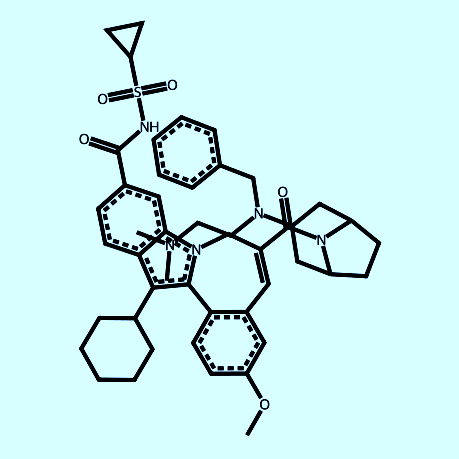 COc1ccc2c(c1)C=C(C(=O)N1C3CCC1CC(N(CCN(C)C)Cc1ccccc1)C3)Cn1c-2c(C2CCCCC2)c2ccc(C(=O)NS(=O)(=O)C3CC3)cc21